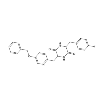 O=C1NC(Cc2ccc(OCc3ccccc3)cn2)C(=O)NC1Cc1ccc(F)cc1